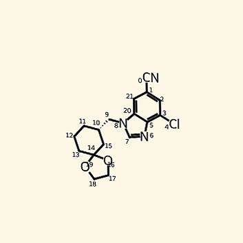 N#Cc1cc(Cl)c2ncn(C[C@H]3CCCC4(C3)OCCO4)c2c1